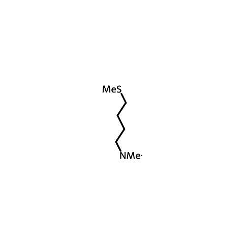 C[N]CCCCSC